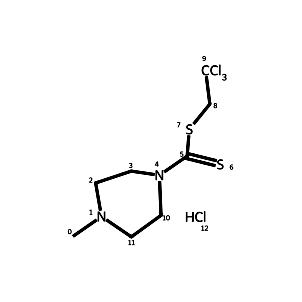 CN1CCN(C(=S)SCC(Cl)(Cl)Cl)CC1.Cl